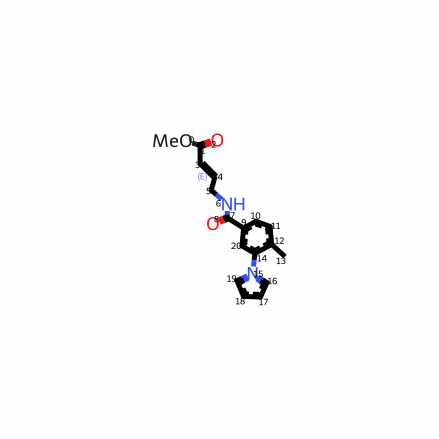 COC(=O)/C=C/CNC(=O)c1ccc(C)c(-n2cccc2)c1